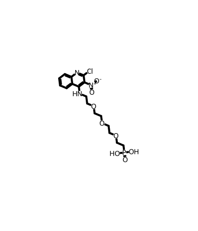 O=[N+]([O-])c1c(Cl)nc2ccccc2c1NCCOCCOCCOCCP(=O)(O)O